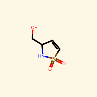 O=S1(=O)C=CC(CO)N1